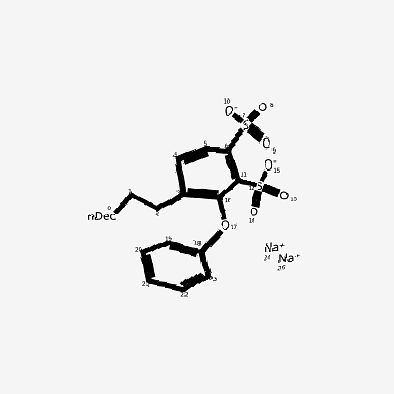 CCCCCCCCCCCCc1ccc(S(=O)(=O)[O-])c(S(=O)(=O)[O-])c1Oc1ccccc1.[Na+].[Na+]